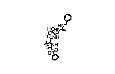 CC1(C)SC(S(=O)(=O)c2ccccc2)NC1C(=O)NC(CNC(=S)NCc1ccccc1)C(=O)O